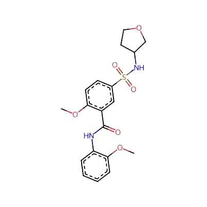 COc1ccccc1NC(=O)c1cc(S(=O)(=O)NC2CCOC2)ccc1OC